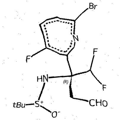 CC(C)(C)[S+]([O-])N[C@](CC=O)(c1nc(Br)ccc1F)C(F)F